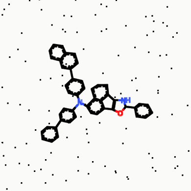 c1ccc(-c2ccc(N(c3ccc(-c4ccc5ccccc5c4)cc3)c3ccc4c5c(cccc35)C3=C4OC(c4ccccc4)N3)cc2)cc1